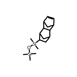 C[Si](C)(C)O[Si](C)(C)C1CC2CC1C1C3C=CC(C3)C21